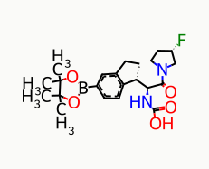 CC1(C)OB(c2ccc3c(c2)CC[C@@H]3[C@H](NC(=O)O)C(=O)N2CC[C@H](F)C2)OC1(C)C